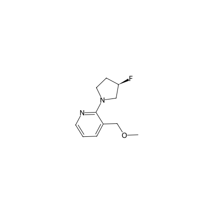 COCc1cccnc1N1CC[C@@H](F)C1